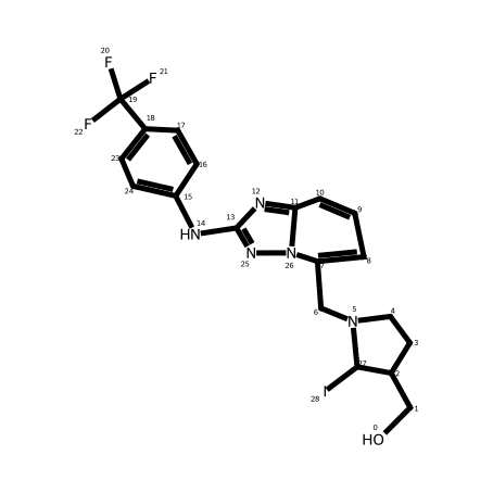 OCC1CCN(Cc2cccc3nc(Nc4ccc(C(F)(F)F)cc4)nn23)C1I